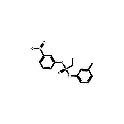 CCP(=O)(Oc1cccc(C)c1)Oc1cccc([N+](=O)[O-])c1